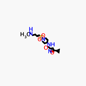 CNCC/C=C/S(=O)(=O)N1CCC(NC(=O)c2cc(C3CC3)on2)CC1